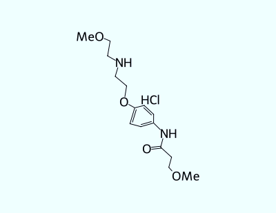 COCCNCCOc1ccc(NC(=O)CCOC)cc1.Cl